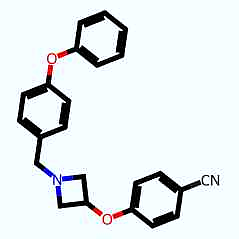 N#Cc1ccc(OC2CN(Cc3ccc(Oc4ccccc4)cc3)C2)cc1